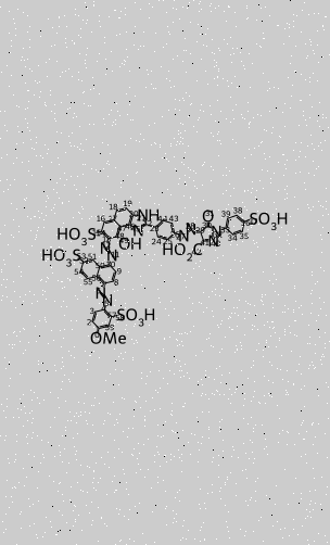 COc1ccc(/N=N/c2ccc(/N=N/c3c(S(=O)(=O)O)cc4ccc5[nH]c(-c6ccc(/N=N/C7C(=O)N(c8ccc(S(=O)(=O)O)cc8)N=C7C(=O)O)cc6)nc5c4c3O)c3cc(S(=O)(=O)O)ccc23)c(S(=O)(=O)O)c1